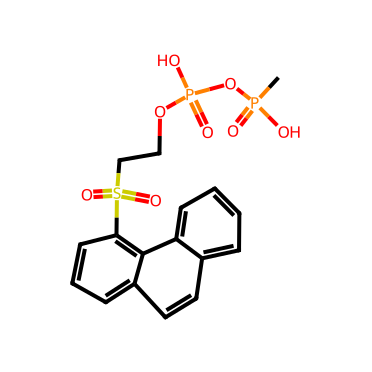 CP(=O)(O)OP(=O)(O)OCCS(=O)(=O)c1cccc2ccc3ccccc3c12